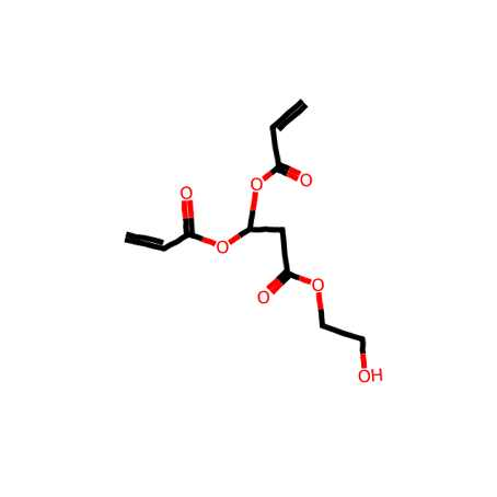 C=CC(=O)OC(CC(=O)OCCO)OC(=O)C=C